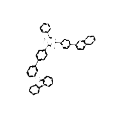 c1ccc(-c2nc(-c3ccc(-c4cccc(-n5c6ccccc6c6ccccc65)c4)cc3)nc(-c3ccc(-c4ccc5ccccc5c4)cc3)n2)cc1